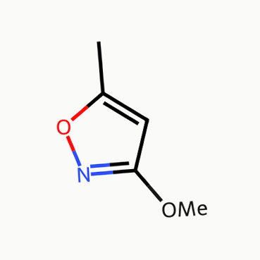 COc1cc(C)on1